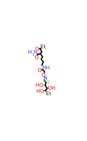 CCC(=O)CC(CCCCNC(=O)CO/N=C/[C@H]([18F])[C@@H](O)[C@H](O)[C@H](O)CC)C(N)=O